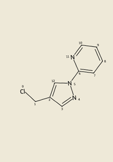 ClCc1cnn(-c2ccccn2)c1